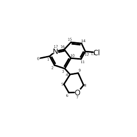 Cc1cc(C2CCOCC2)c2cc(Cl)ccc2n1